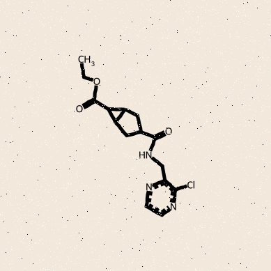 CCOC(=O)C1C2CC(C(=O)NCc3nccnc3Cl)CC21